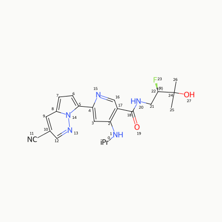 CC(C)Nc1cc(-c2ccc3cc(C#N)cnn23)ncc1C(=O)NC[C@@H](F)C(C)(C)O